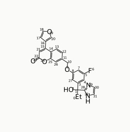 CCC(O)(c1cc(F)cc(OCc2ccc3c(-c4ccoc4)cc(=O)oc3c2)c1)c1ncc[nH]1